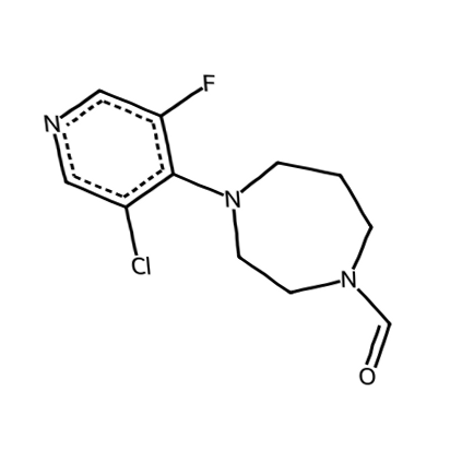 O=CN1CCCN(c2c(F)cncc2Cl)CC1